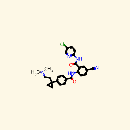 CN(C)CCC1(c2ccc(C(=O)Nc3ccc(C#N)cc3C(=O)Nc3ccc(Cl)cn3)cc2)CC1